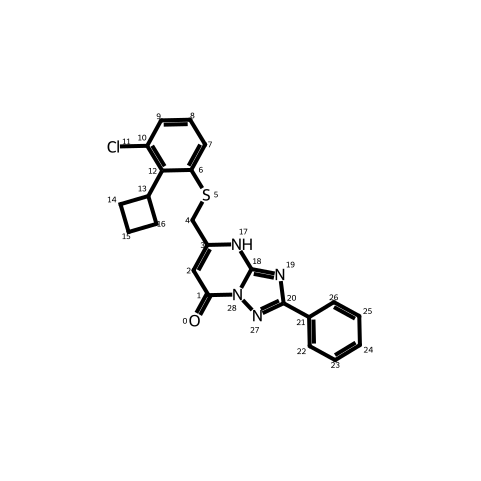 O=c1cc(CSc2cccc(Cl)c2C2CCC2)[nH]c2nc(-c3ccccc3)nn12